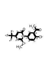 COc1nc(C(F)(F)F)cc(=O)n1-c1ccc(Cl)c(C(C)=O)c1